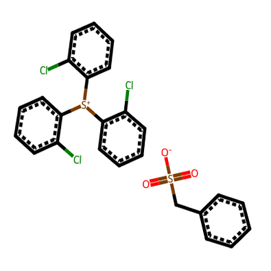 Clc1ccccc1[S+](c1ccccc1Cl)c1ccccc1Cl.O=S(=O)([O-])Cc1ccccc1